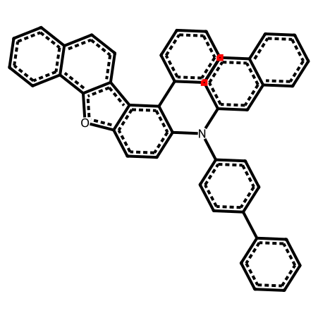 c1ccc(-c2ccc(N(c3ccc4ccccc4c3)c3ccc4oc5c6ccccc6ccc5c4c3-c3ccccc3)cc2)cc1